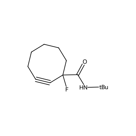 CC(C)(C)NC(=O)C1(F)C#CCCCCC1